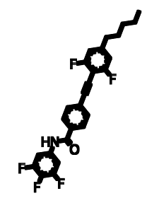 CCCCCc1cc(F)c(C#Cc2ccc(C(=O)Nc3cc(F)c(F)c(F)c3)cc2)c(F)c1